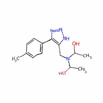 Cc1ccc(-c2nn[nH]c2CN(C(C)O)C(C)O)cc1